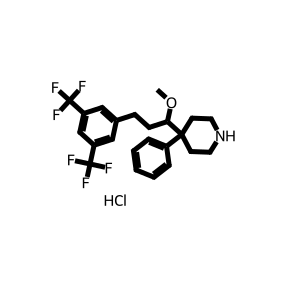 COC(CCc1cc(C(F)(F)F)cc(C(F)(F)F)c1)C1(c2ccccc2)CCNCC1.Cl